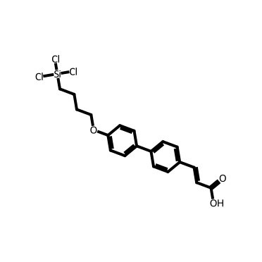 O=C(O)C=Cc1ccc(-c2ccc(OCCCC[Si](Cl)(Cl)Cl)cc2)cc1